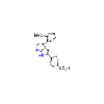 COc1ccccc1-c1ccnc2[nH]c(C3=CCC(C(=O)O)CC3)cc12